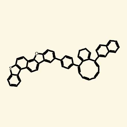 C1=c2c(-c3ccc(-c4ccc5oc6c(ccc7c6ccc6sc8ccccc8c67)c5c4)cc3)ccccccc(-c3ccc4ccccc4c3)c2=CCC1